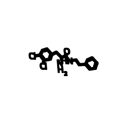 N[C@H](Cc1ccc(Cl)c(Cl)c1)C(=O)NCCc1ccccc1